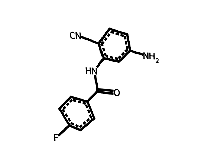 [C-]#[N+]c1ccc(N)cc1NC(=O)c1ccc(F)cc1